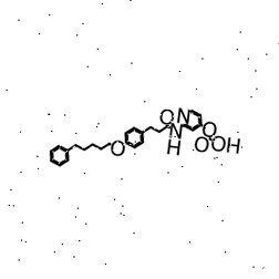 O=C(CCc1ccc(OCCCCCc2ccccc2)cc1)Nc1cc(OC(=O)O)ccn1